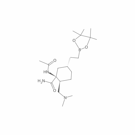 CC(=O)N[C@@]1(C(N)=O)C[C@H](CCB2OC(C)(C)C(C)(C)O2)CC[C@H]1CN(C)C